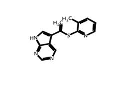 C=C(Sc1ncccc1C)c1c[nH]c2ncncc12